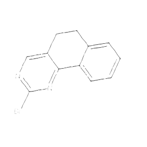 Brc1ncc2c(n1)-c1ccccc1CC2